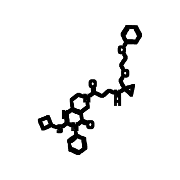 O=C(CCNC1(COCCOc2ccccc2)CC1)N1CCc2nc(SC3CCC3)n(-c3ccccc3)c(=O)c2C1